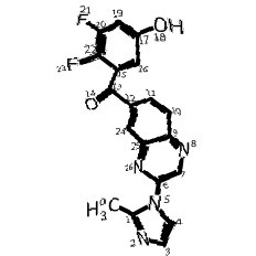 Cc1nccn1-c1cnc2ccc(C(=O)c3cc(O)cc(F)c3F)cc2n1